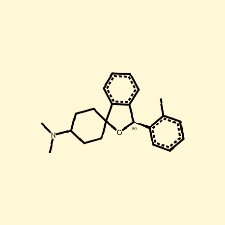 Cc1ccccc1[C@H]1OC2(CCC(N(C)C)CC2)c2ccccc21